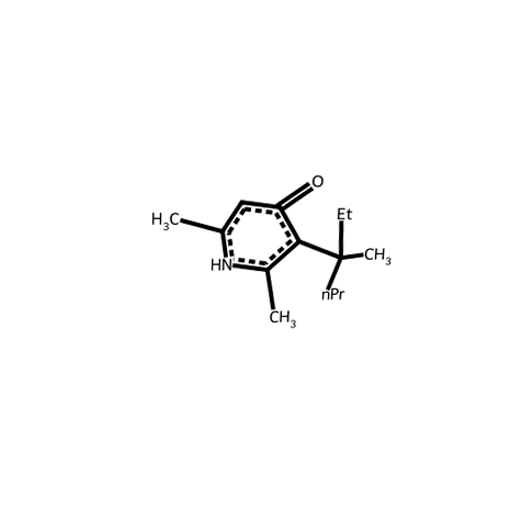 CCCC(C)(CC)c1c(C)[nH]c(C)cc1=O